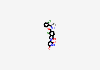 O=C1CCC(N2Cc3c(ccc(C(=O)N[C@H](c4ccccc4Cl)C(F)(F)F)c3F)C2=O)C(=O)N1